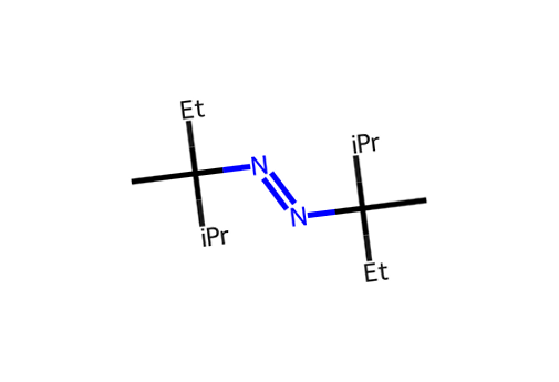 CCC(C)(N=NC(C)(CC)C(C)C)C(C)C